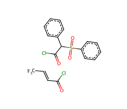 O=C(Cl)C(c1ccccc1)S(=O)(=O)c1ccccc1.O=C(Cl)C=CC(F)(F)F